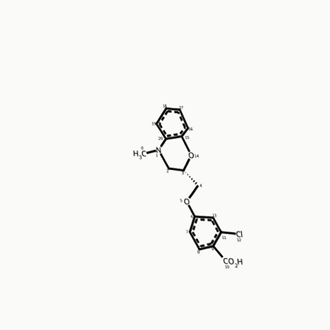 CN1C[C@@H](COc2ccc(C(=O)O)c(Cl)c2)Oc2ccccc21